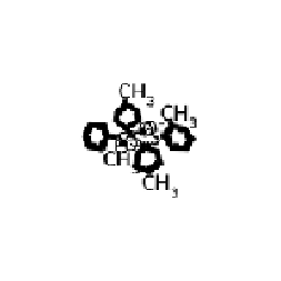 CC1=CCC([S+]([O-])c2ccccc2C)(S(=O)(=O)C2([S+]([O-])c3ccccc3C)C=CC(C)=CC2)C=C1